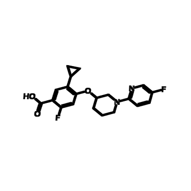 O=C(O)c1cc(C2CC2)c(OC2CCCN(c3ccc(F)cn3)C2)cc1F